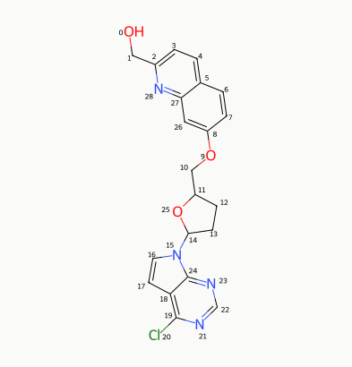 OCc1ccc2ccc(OCC3CCC(n4ccc5c(Cl)ncnc54)O3)cc2n1